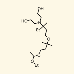 CCOC(C)OCCC(C)(C)OCCC(C)(CC)N(CCO)CCO